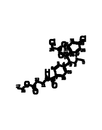 CCC[C@H](c1ccc(C(=O)NCCC(=O)OCC)cc1)[C@H](OC(=O)CCl)c1ccc(Cl)cc1